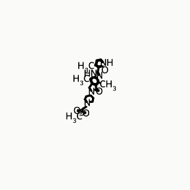 Cc1cc[nH]c(=O)c1-c1nc2c(C)c3c(c(C)c2[nH]1)CN(C1CCN(CCS(C)(=O)=O)CC1)C3=O